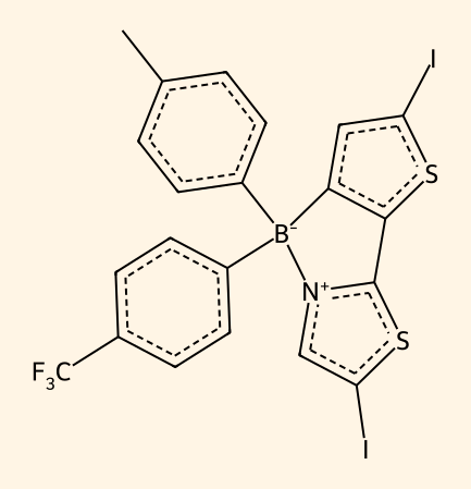 Cc1ccc([B-]2(c3ccc(C(F)(F)F)cc3)c3cc(I)sc3-c3sc(I)c[n+]32)cc1